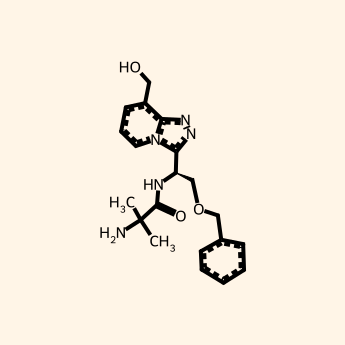 CC(C)(N)C(=O)N[C@H](COCc1ccccc1)c1nnc2c(CO)cccn12